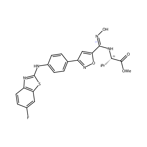 COC(=O)[C@@H](N/C(=N\O)c1cc(-c2ccc(Nc3nc4ccc(F)cc4s3)cc2)no1)C(C)C